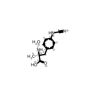 C[C@](N)(Cc1ccc(NC#N)cc1)C(=O)O.O